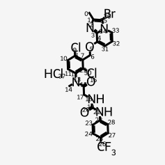 Cc1nc2c(OCc3c(Cl)ccc(N(C)C(=O)CNC(=O)Nc4ccc(C(F)(F)F)cc4)c3Cl)cccn2c1Br.Cl